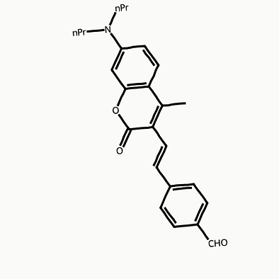 CCCN(CCC)c1ccc2c(C)c(C=Cc3ccc(C=O)cc3)c(=O)oc2c1